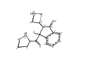 CC1(C(=O)C2CCCN2)c2ccccc2C(=O)N1C1CNC1